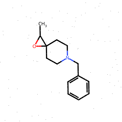 CC1OC12CCN(Cc1ccccc1)CC2